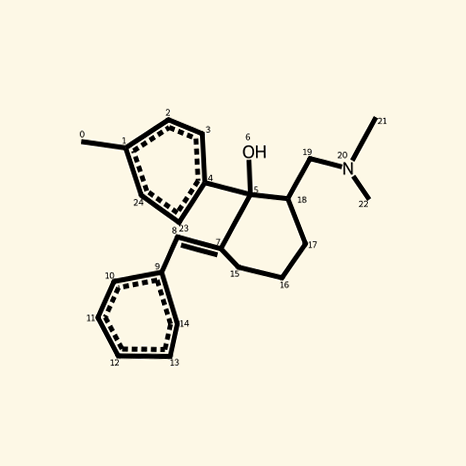 Cc1ccc(C2(O)C(=Cc3ccccc3)CCCC2CN(C)C)cc1